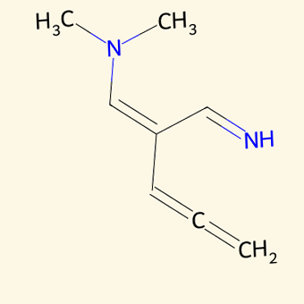 C=C=C/C(C=N)=C/N(C)C